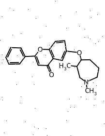 CC1CN(C)CCCC1Oc1ccc2oc(-c3ccccc3)cc(=O)c2c1